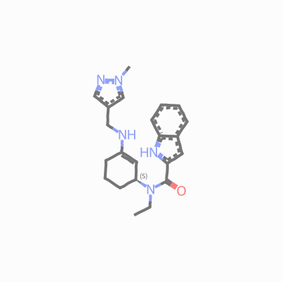 CCN(C(=O)c1cc2ccccc2[nH]1)[C@@H]1C=C(NCc2cnn(C)c2)CCC1